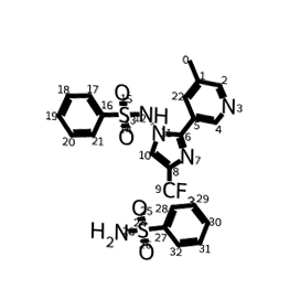 Cc1cncc(-c2nc(C(F)(F)F)cn2NS(=O)(=O)c2ccccc2)c1.NS(=O)(=O)c1ccccc1